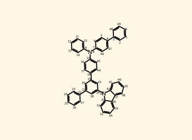 c1ccc(-c2ccc(N(c3ccccc3)c3ccc(-c4cc(-c5ccccc5)cc(-n5c6ccccc6c6ccccc65)c4)cc3)cc2)cc1